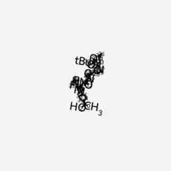 CC(O)C1CCC(n2cc(NC(=O)c3coc(-c4ccnc(N(CC5CC5)C(=O)OC(C)(C)C)c4)n3)c(C(F)F)n2)CC1